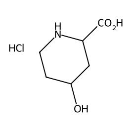 Cl.O=C(O)C1CC(O)CCN1